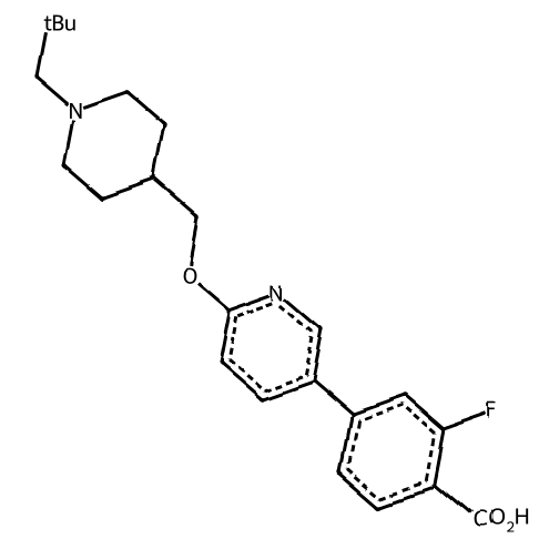 CC(C)(C)CN1CCC(COc2ccc(-c3ccc(C(=O)O)c(F)c3)cn2)CC1